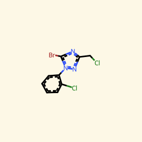 ClCc1nc(Br)n(-c2ccccc2Cl)n1